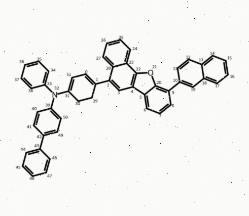 C1=C(c2cc3c4cccc(-c5ccc6ccccc6c5)c4oc3c3ccccc23)CCC(N(c2ccccc2)c2ccc(-c3ccccc3)cc2)=C1